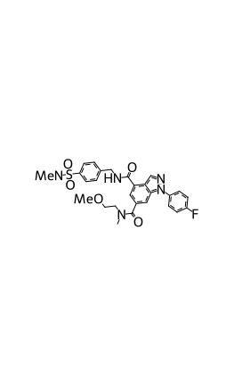 CNS(=O)(=O)c1ccc(CNC(=O)c2cc(C(=O)N(C)CCOC)cc3c2cnn3-c2ccc(F)cc2)cc1